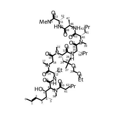 C/C=C/C[C@@H](C)[C@@H](O)C(C(=O)N[C@@H](CC)C(=O)N(C)CC(=O)N(C)[C@@H](CC(C)(C)OCOCC)C(=O)N[C@H](C(=O)N(C)[C@@H](CC(C)C)C(=O)N[C@H](C)C(=O)N[C@@H](C)C(=O)NC)C(C)C)N(C)C(=O)CC(C)C